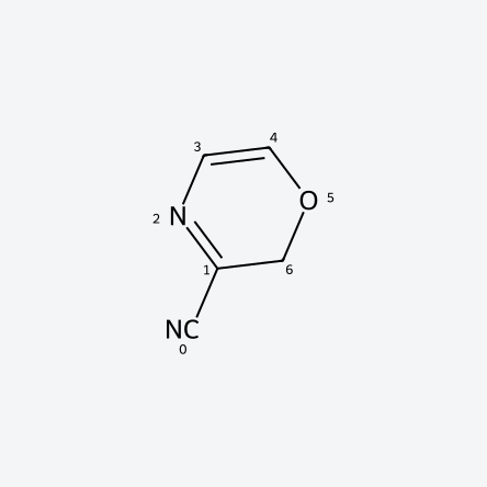 N#CC1=NC=COC1